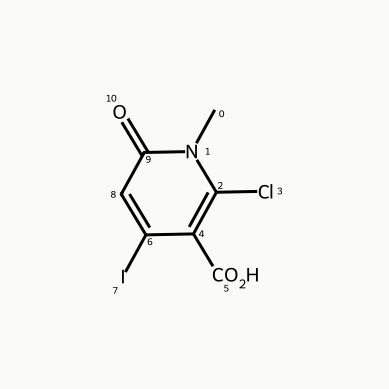 Cn1c(Cl)c(C(=O)O)c(I)cc1=O